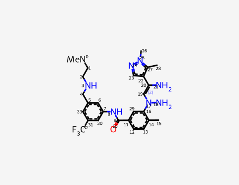 CNCCNCc1cc(NC(=O)c2ccc(C)c(N(N)/C=C(\N)c3cnn(C)c3C)c2)cc(C(F)(F)F)c1